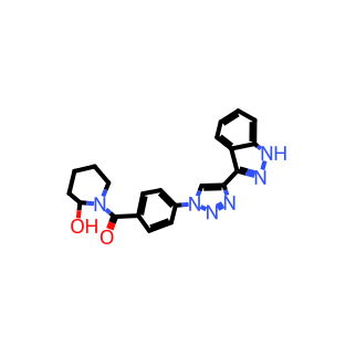 O=C(c1ccc(-n2cc(-c3n[nH]c4ccccc34)nn2)cc1)N1CCCCC1O